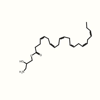 CC/C=C\C/C=C\C/C=C\C/C=C\C/C=C\C/C=C\CCC(=O)OCC(O)CN